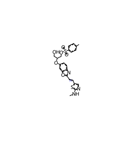 CNc1ncc(/C=C/c2nc3ccc(OC(CO)COS(=O)(=O)c4ccc(C)cc4)cc3o2)s1